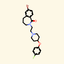 O=C1c2ccc(Br)cc2CCCN1CCN1CCC(Oc2ccc(F)cc2)CC1